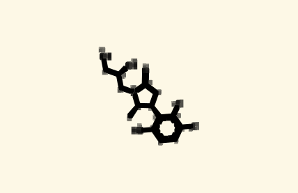 C[C@@H]1[C@H](c2c(O)ccc(Cl)c2Cl)CC(=O)N1C[C@H](O)CO